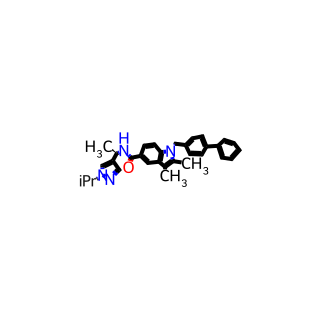 Cc1c(C)n(Cc2ccc(-c3ccccc3)cc2)c2ccc(C(=O)N[C@@H](C)c3cnn(C(C)C)c3)cc12